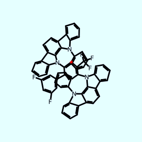 Fc1cc(F)cc(-c2cc(-n3c4ccccc4c4ccc5c6ccccc6n(-c6ccccc6)c5c43)c(C(F)(F)F)cc2-n2c3ccccc3c3ccc4c5ccccc5n(-c5ccccc5)c4c32)c1